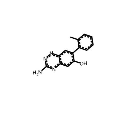 Cc1ccccc1-c1cc2nnc(N)nc2cc1O